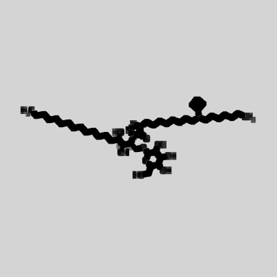 CCCCCCCCCCCCCC[C@@H](O)[C@@H](O)[C@H](COC1OC(CO)C(O)C(O)C1O)n1nnn(CCCCCCCCN(CCCCCCC)C23CC(C2)C3)c1=O